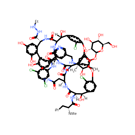 CCNNC(=O)[C@@H]1NC(=O)[C@H]2NC(=O)[C@H](NC(=O)[C@@H]3NC(=O)[C@H](CC(N)=O)NC(=O)[C@H](NC(=O)[C@@H](CC(C)C)NC)[C@H](O)c4ccc(c(Cl)c4)Oc4cc3cc(c4O[C@@H]3O[C@H](CO)[C@@H](O)[C@H](O)[C@H]3O[C@H]3C[C@](C)(NCc4cncc(C(=O)Nc5cc(Cl)cc(Cl)c5)c4)[C@H](O)[C@H](C)O3)Oc3ccc(cc3Cl)[C@H]2O)c2ccc(O)c(c2)-c2c(O)cc(O)cc21